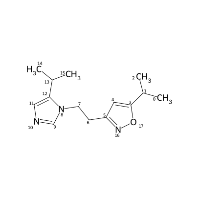 CC(C)c1cc(CCn2cncc2C(C)C)no1